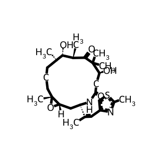 C/C(=C/c1csc(C)n1)[C@@H]1C[C@@H]2O[C@]2(C)CCC[C@H](C)[C@H](O)[C@@H](C)C(=O)C(C)(C)[C@@H](O)CC(=O)N1